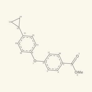 COC(=O)c1ccc(Oc2ccc(C3CC3)cc2)cc1